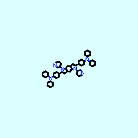 c1ccc(N(c2ccccc2)c2ccc(-c3cc4cc5c(cc(-c6ccc(N(c7ccccc7)c7ccccc7)cc6)n5-c5cccnc5)cc4n3-c3cccnc3)cc2)cc1